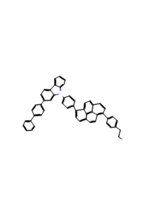 CCCc1ccc(-c2ccc3ccc4c(-c5ccc(-n6c7ccccc7c7ccc(-c8ccc(-c9ccccc9)cc8)cc76)cc5)ccc5ccc2c3c54)cc1